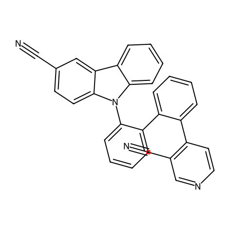 N#Cc1ccc2c(c1)c1ccccc1n2-c1ccccc1-c1ccccc1-c1ccncc1C#N